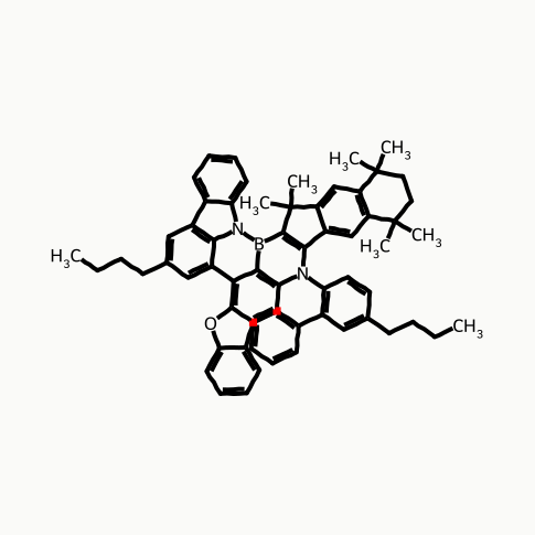 CCCCc1ccc(N2C3=C(B4c5c2cc2c(oc6ccccc62)c5-c2cc(CCCC)cc5c6ccccc6n4c25)C(C)(C)c2cc4c(cc23)C(C)(C)CCC4(C)C)c(-c2ccccc2)c1